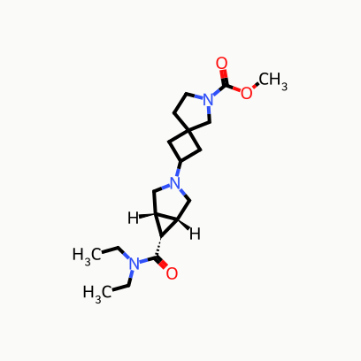 CCN(CC)C(=O)[C@@H]1[C@@H]2CN(C3CC4(CCN(C(=O)OC)C4)C3)C[C@@H]21